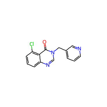 O=c1c2c(Cl)cccc2ncn1Cc1cccnc1